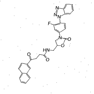 O=C(CCC(=O)c1ccc2ccccc2c1)NCC1CN(c2ccc(-n3nnc4ccccc43)c(F)c2)C(=O)O1